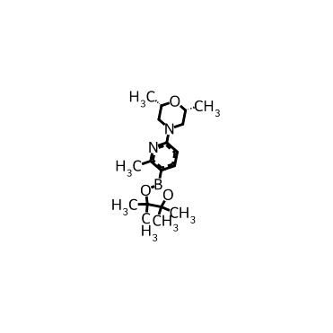 Cc1nc(N2C[C@@H](C)O[C@@H](C)C2)ccc1B1OC(C)(C)C(C)(C)O1